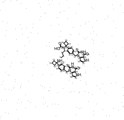 CCCCN(C(=O)O)C1(c2ccc(Cn3c(=S)[nH]c(=O)c4[nH]ccc43)cc2)CCC1.NC1(c2ccc(Cn3c(=S)[nH]c(=O)c4[nH]ccc43)cc2)CCC1